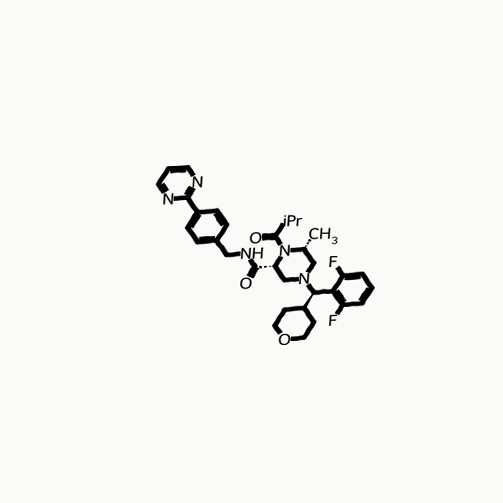 CC(C)C(=O)N1[C@H](C)CN([C@@H](c2c(F)cccc2F)C2CCOCC2)C[C@@H]1C(=O)NCc1ccc(-c2ncccn2)cc1